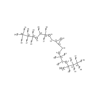 CC(F)(OC(F)C(F)(F)OCC1OC1COC(F)(F)C(F)OC(F)(F)C(F)(F)C(F)(F)F)C(F)(F)C(F)(F)F